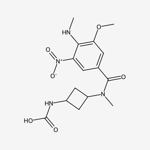 CNc1c(OC)cc(C(=O)N(C)C2CC(NC(=O)O)C2)cc1[N+](=O)[O-]